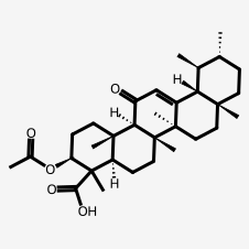 CC(=O)O[C@H]1CC[C@]2(C)[C@H]3C(=O)C=C4[C@@H]5[C@@H](C)[C@H](C)CC[C@]5(C)CC[C@@]4(C)[C@]3(C)CC[C@H]2C1(C)C(=O)O